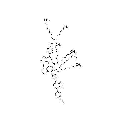 CCCCCCCCC(CCCCCC)COc1ccc(-c2cc3c4c5c2cccc5c2cccc5c6c(c(c4c52)n3CC(CCCCCC)CCCCCC)C(CCCCCCCC)(CCCCCCCC)c2cc(-c3ccc(-c4ccc(C)cc4)c4nsnc34)sc2-6)cc1